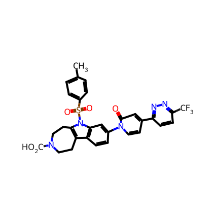 Cc1ccc(S(=O)(=O)n2c3c(c4ccc(-n5ccc(-c6ccc(C(F)(F)F)nn6)cc5=O)cc42)CCN(C(=O)O)CC3)cc1